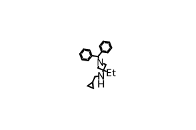 CCC1(NCC2CC2)CN(C(c2ccccc2)c2ccccc2)C1